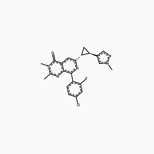 Cc1nc2c(-c3ccc(Cl)cc3F)nc([C@@H]3C[C@H]3c3cnn(C)c3)cc2c(=O)n1C